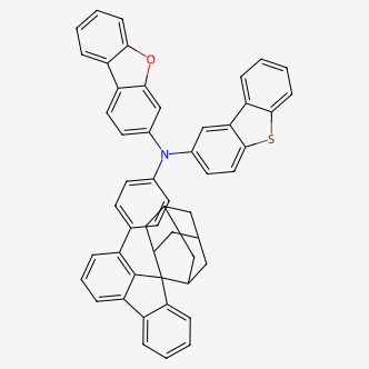 c1ccc2c(c1)-c1cccc(-c3ccc(N(c4ccc5c(c4)oc4ccccc45)c4ccc5sc6ccccc6c5c4)cc3)c1C21C2CC3CC(C2)CC1C3